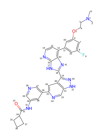 CN(C)CCOc1cc(F)cc(-c2ccnc3[nH]c(-c4n[nH]c5cnc(-c6cncc(NC(=O)C7CCC7)c6)cc45)nc23)c1